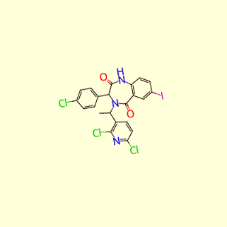 CC(c1ccc(Cl)nc1Cl)N1C(=O)c2cc(I)ccc2NC(=O)C1c1ccc(Cl)cc1